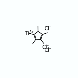 CC1=C(C)C(C)[C]([Ti+3])=C1C.[Cl-].[Cl-].[Cl-]